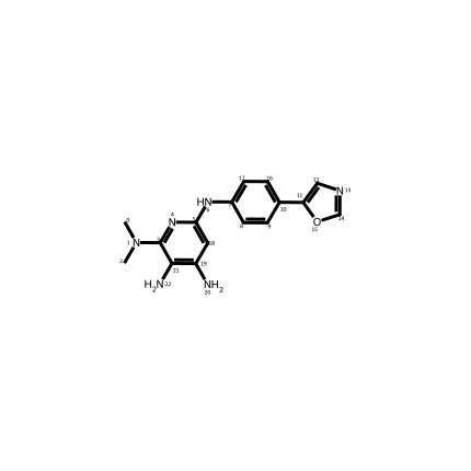 CN(C)c1nc(Nc2ccc(-c3cnco3)cc2)cc(N)c1N